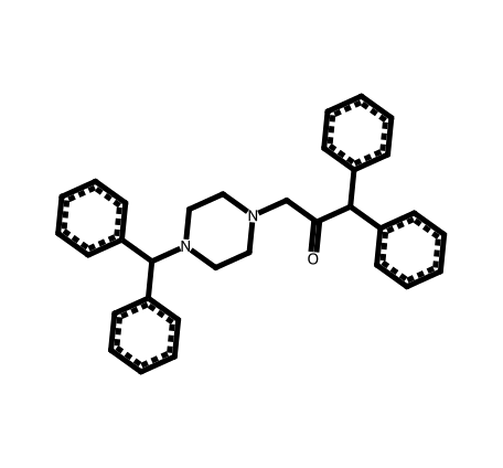 O=C(CN1CCN(C(c2ccccc2)c2ccccc2)CC1)C(c1ccccc1)c1ccccc1